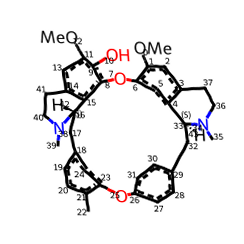 COc1cc2c3cc1Oc1c(O)c(OC)cc4c1[C@H](Cc1ccc(C)c(c1)Oc1ccc(cc1)C[C@@H]3N(C)CC2)N(C)CC4